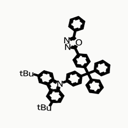 CC(C)(C)c1ccc2c(c1)c1cc(C(C)(C)C)ccc1n2-c1ccc(C(c2ccccc2)(c2ccccc2)c2ccc(-c3nnc(-c4ccccc4)o3)cc2)cc1